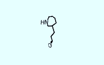 O=CCCC1CCCCNC1